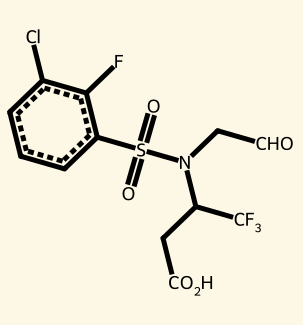 O=CCN(C(CC(=O)O)C(F)(F)F)S(=O)(=O)c1cccc(Cl)c1F